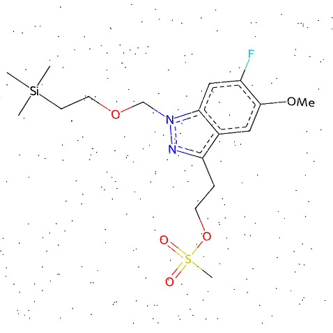 COc1cc2c(CCOS(C)(=O)=O)nn(COCC[Si](C)(C)C)c2cc1F